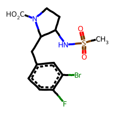 CS(=O)(=O)NC1CCN(C(=O)O)C1Cc1ccc(F)c(Br)c1